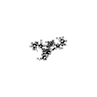 COCCO[C@@H]1C(O)[C@H](n2c[n+](C)c3c(=O)[nH]c(N)nc32)O[C@@H]1COP(=O)([O-])OP(=O)(O)OP(=O)(O)OC[C@]12CO[C@@H](C1OP(=O)(O)OC[C@H]1O[C@@H](n3cnc4c(=O)[nH]c(N)nc43)[C@@H](O)C1O)[C@H](n1cnc3c(N)ncnc31)O2